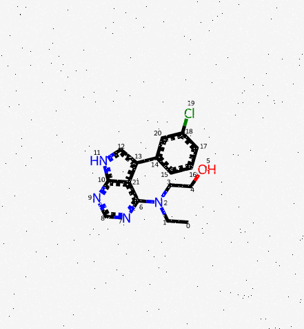 CCN(CCO)c1ncnc2[nH]cc(-c3cccc(Cl)c3)c12